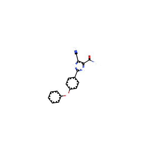 N#Cc1[nH]c(-c2ccc(Oc3ccccc3)cc2)nc1C(N)=O